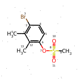 Cc1c(Br)ccc(OS(C)(=O)=O)c1C